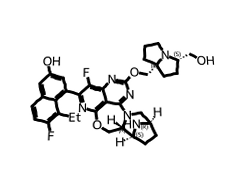 CCc1c(F)ccc2cc(O)cc(-c3nc4c5c(nc(OC[C@]67CCCN6[C@H](CO)CC7)nc5c3F)N3C[C@H]5CC[C@H](N5)[C@@H]3CO4)c12